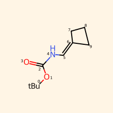 CC(C)(C)OC(=O)NC=C1CCC1